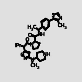 Cc1ncsc1-c1ccc(C(C)NC(=O)C2CCCN2C(=O)C(c2cc(N(C)C3CCNCC3)no2)C(C)C)cc1